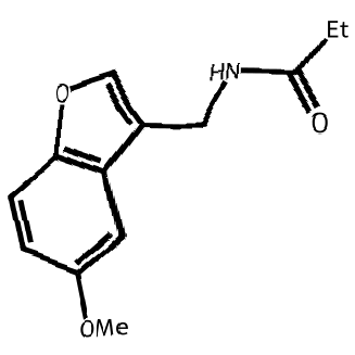 CCC(=O)NCc1coc2ccc(OC)cc12